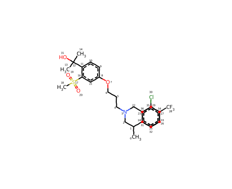 CC(CN(CCCOc1ccc(C(C)(C)O)c(S(C)(=O)=O)c1)Cc1cccc(C(F)(F)F)c1Cl)c1ccccc1